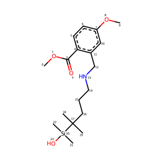 COC(=O)c1ccc(OC)cc1CNCCCC(C)(C)[Si](C)(C)O